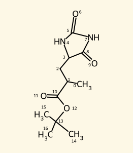 CC(CC1NC(=O)NC1=O)C(=O)OC(C)(C)C